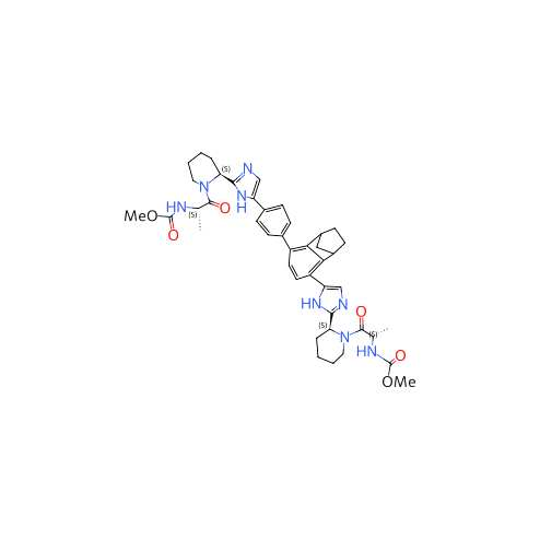 COC(=O)N[C@@H](C)C(=O)N1CCCC[C@H]1c1ncc(-c2ccc(-c3ccc(-c4cnc([C@@H]5CCCCN5C(=O)[C@H](C)NC(=O)OC)[nH]4)c4c3C3CCC4C3)cc2)[nH]1